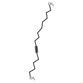 CCCCCC#CCCCCCCCCC